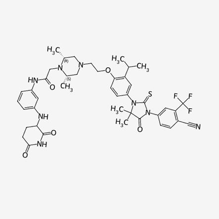 CC(C)c1cc(N2C(=S)N(c3ccc(C#N)c(C(F)(F)F)c3)C(=O)C2(C)C)ccc1OCCN1C[C@@H](C)N(CC(=O)Nc2cccc(NC3CCC(=O)NC3=O)c2)[C@@H](C)C1